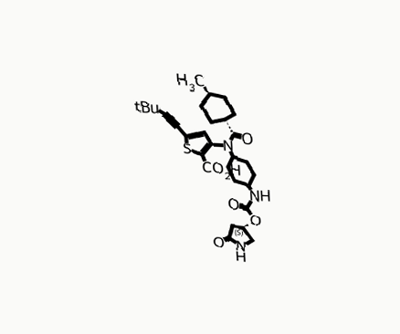 CC(C)(C)C#Cc1cc(N(C(=O)[C@H]2CC[C@H](C)CC2)C2CCC(NC(=O)O[C@@H]3CNC(=O)C3)CC2)c(C(=O)O)s1